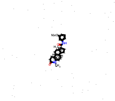 COc1cccc(NC(=O)[C@H]2CC[C@H]3[C@@H]4CC=C5N(C)C(=O)CC[C@]5(C)[C@H]4CC[C@]23C)c1